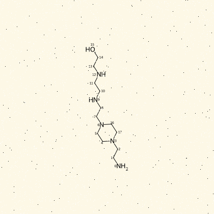 NCCN1CCN(CCNCCNCCO)CC1